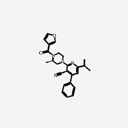 CC(C)c1cc(-c2ccccc2)c(C#N)c(N2CCN(C(=O)c3ccoc3)[C@H](C)C2)n1